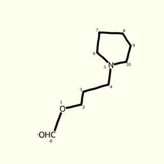 O=[C]OCCCN1CCCCC1